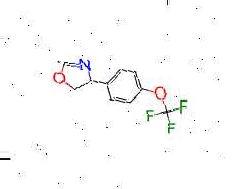 FC(F)(F)Oc1ccc(C2CO[C]=N2)cc1